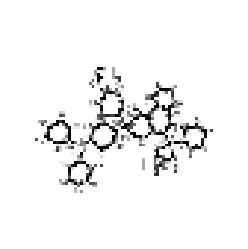 CCC1(CC)c2ccccc2-c2c1c1c(c3ccccc23)OC(c2ccc(OC)cc2)(c2ccc(N(c3ccccc3)c3ccccc3)cc2)C=C1